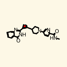 CNC(=O)c1ccc(N2CCC(N3CC4(c5nc6ccccc6c(=O)[nH]5)CC3C4)CC2)cn1